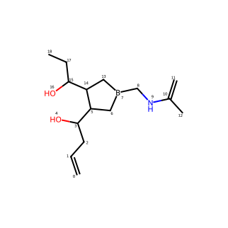 C=CCC(O)C1CB(CNC(=C)C)CC1C(O)CC